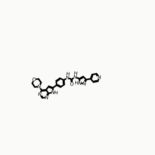 O=C(Nc1ccc(-c2cc3c(N4CCOCC4)ncnc3[nH]2)cc1)Nc1cc(-c2ccncc2)n[nH]1